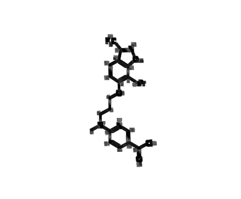 CCCc1c(OCCCN(C)c2ccc(C(=O)Cl)cn2)ccc2c(C(F)(F)F)noc12